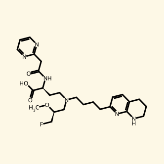 CO[C@H](CF)CN(CCCCc1ccc2c(n1)NCCC2)CC[C@H](NC(=O)Cc1ncccn1)C(=O)O